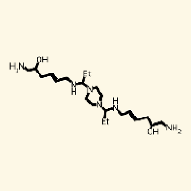 CCC(NCC=CCC(O)CN)N1CCN(C(CC)NCC=CCC(O)CN)CC1